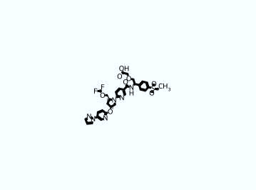 CCS(=O)(=O)c1ccc(C(COCC(=O)O)NC(=O)c2ccc(N3C[C@@H](Oc4ccc(-n5cccn5)cn4)C[C@H]3COC(F)F)nc2)cc1